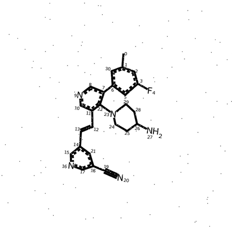 Cc1cc(F)cc(-c2cncc(C=Cc3cncc(C#N)c3)c2N2CCC(N)CC2)c1